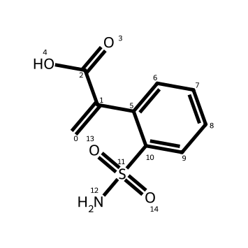 C=C(C(=O)O)c1ccccc1S(N)(=O)=O